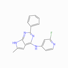 Cc1cc2c(Nc3ccnc(F)c3)nc(-c3ccccc3)nc2[nH]1